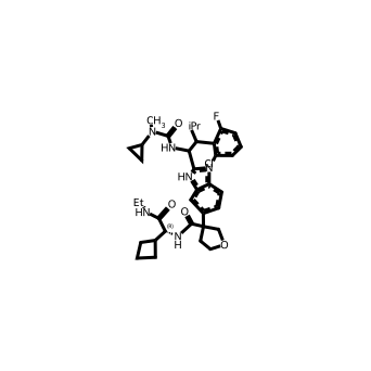 CCNC(=O)[C@H](NC(=O)C1(c2ccc3nc(C(NC(=O)N(C)C4CC4)C(c4c(F)cccc4Cl)C(C)C)[nH]c3c2)CCOC1)C1CCC1